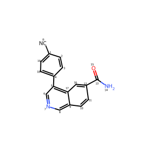 N#Cc1ccc(-c2cncc3ccc(C(N)=O)cc23)cc1